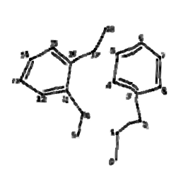 CCCc1ccccc1.CCc1ccccc1CC